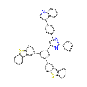 c1ccc(-c2nc(-c3ccc(-c4ccnc5ccccc45)cc3)cc(-c3cc(-c4ccc5sc6ccccc6c5c4)cc(-c4ccc5sc6ccccc6c5c4)c3)n2)cc1